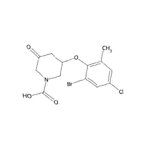 Cc1cc(Cl)cc(Br)c1OC1CC(=O)CN(C(=O)O)C1